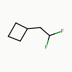 FC(F)[CH]C1CCC1